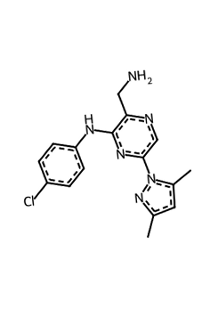 Cc1cc(C)n(-c2cnc(CN)c(Nc3ccc(Cl)cc3)n2)n1